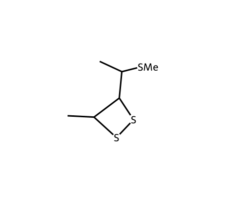 CSC(C)C1SSC1C